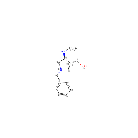 O=C(O)N[C@@H]1CN(Cc2ccccc2)C[C@H]1CO